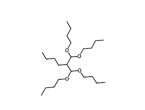 CCCCOC(OCCCC)C(CCCC)C(OCCCC)OCCCC